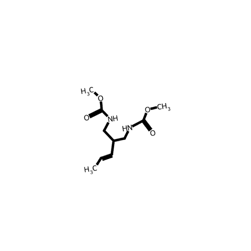 CC=CC(CNC(=O)OC)CNC(=O)OC